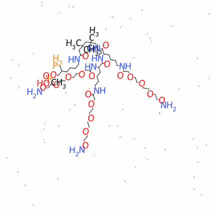 CC(C)(CNC(=O)C(CCCCNC(=O)COCCOCCOCCON)NC(=O)C(CCCCNC(=O)COCCOCCOCCON)NC(=O)COCCOCCOCCON)CC(C)(C)CC(=O)NCCCCC(CP)COP(C)(=O)O